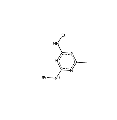 CCNc1nc(C)nc(NC(C)C)n1